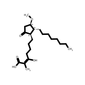 CCCCCCCC[C@H]1[C@H](OC)CC(=O)[C@@H]1CCCCC(O)=C(C)C(=O)O